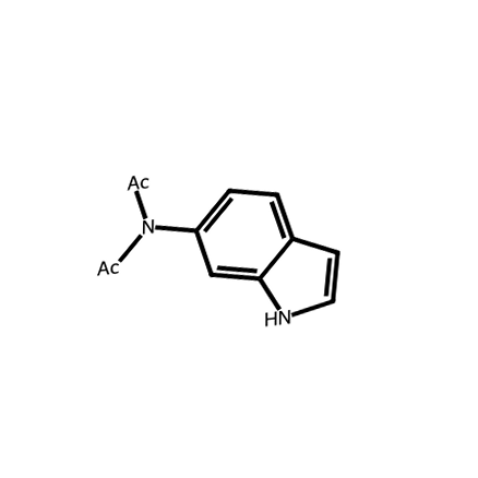 CC(=O)N(C(C)=O)c1ccc2cc[nH]c2c1